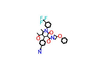 CC(=O)C1=C(C)N(c2cccc(C(F)(F)F)c2)C(=O)C(C(=O)N2CC(Oc3ccccc3)C2)C1c1ccc(C#N)cc1